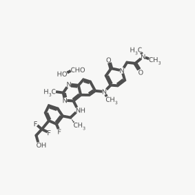 Cc1nc(N[C@H](C)c2cccc(C(F)(F)CO)c2F)c2cc(N(C)c3ccn(CC(=O)N(C)C)c(=O)c3)ccc2n1.O=CO